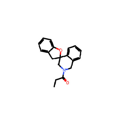 CCC(=O)N1Cc2ccccc2C2(Cc3ccccc3O2)C1